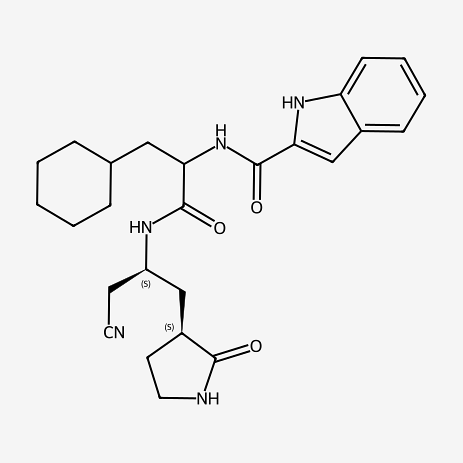 N#CC[C@H](C[C@@H]1CCNC1=O)NC(=O)C(CC1CCCCC1)NC(=O)c1cc2ccccc2[nH]1